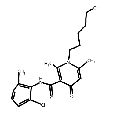 CCCCCCn1c(C)cc(=O)c(C(=O)Nc2c(C)cccc2Cl)c1C